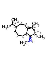 CC/C(=N/C)C1CCCC(C(C)C)CCC1=C(C)C